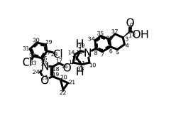 O=C(O)[C@H]1CCc2cc(N3C[C@@H]4C[C@H]3C[C@H]4OCC3=C(C4CC4)OCN3c3c(Cl)cccc3Cl)ccc2C1